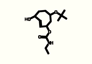 CCNC(=O)OC1/C=C/C(O)CCC(OC(C)(C)C)C1